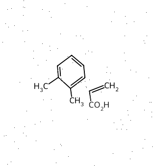 C=CC(=O)O.Cc1ccccc1C